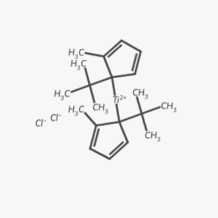 CC1=CC=C[C]1([Ti+2][C]1(C(C)(C)C)C=CC=C1C)C(C)(C)C.[Cl-].[Cl-]